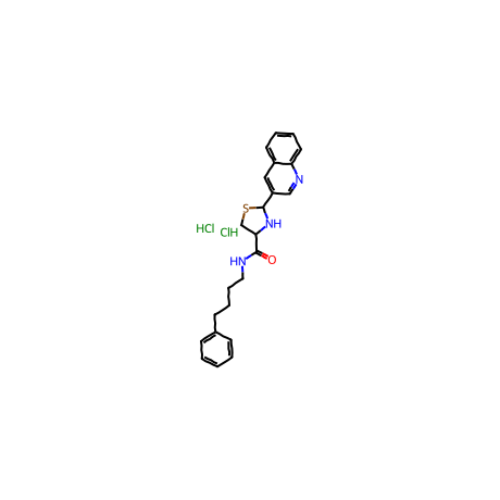 Cl.Cl.O=C(NCCCCc1ccccc1)C1CSC(c2cnc3ccccc3c2)N1